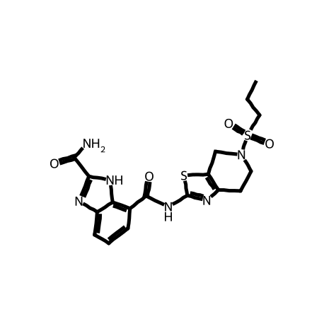 CCCS(=O)(=O)N1CCc2nc(NC(=O)c3cccc4nc(C(N)=O)[nH]c34)sc2C1